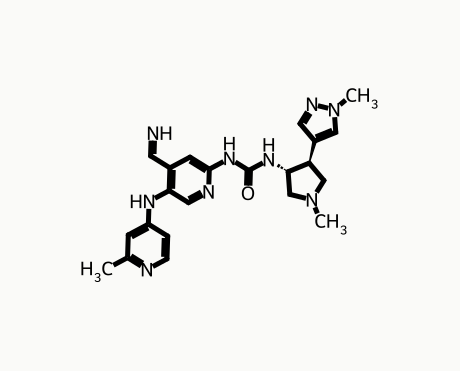 Cc1cc(Nc2cnc(NC(=O)N[C@H]3CN(C)C[C@@H]3c3cnn(C)c3)cc2C=N)ccn1